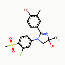 Cc1cc(C2=NC(O)(C(F)(F)F)CN2c2ccc(S(C)(=O)=O)c(F)c2)ccc1Br